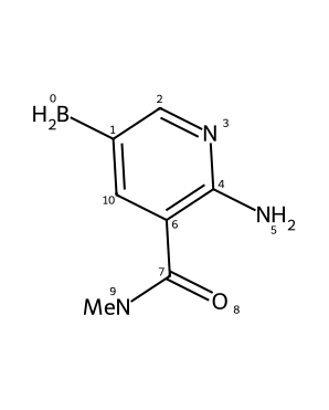 Bc1cnc(N)c(C(=O)NC)c1